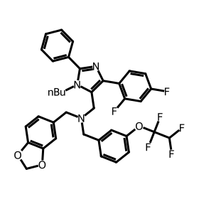 CCCCn1c(-c2ccccc2)nc(-c2ccc(F)cc2F)c1CN(Cc1cccc(OC(F)(F)C(F)F)c1)Cc1ccc2c(c1)OCO2